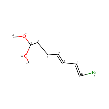 COC(CCC=CC=CBr)OC